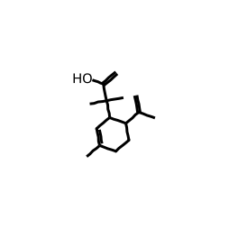 C=C(C)C1CCC(C)=CC1C(C)(C)C(=C)O